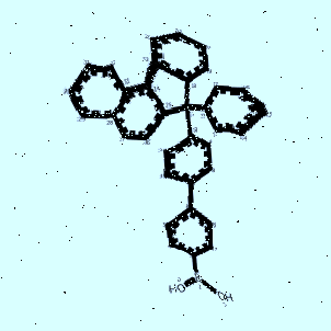 OB(O)c1ccc(-c2ccc(C3(c4ccccc4)c4ccccc4-c4c3ccc3ccccc43)cc2)cc1